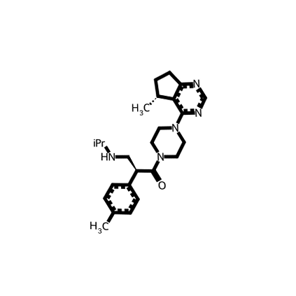 Cc1ccc([C@@H](CNC(C)C)C(=O)N2CCN(c3ncnc4c3[C@H](C)CC4)CC2)cc1